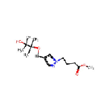 COC(=O)CCCn1cc(BOC(C)(C)C(C)(C)O)cn1